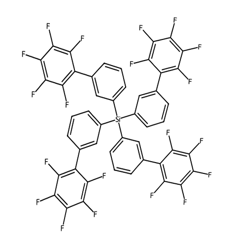 Fc1c(F)c(F)c(-c2cccc([Si](c3cccc(-c4c(F)c(F)c(F)c(F)c4F)c3)(c3cccc(-c4c(F)c(F)c(F)c(F)c4F)c3)c3cccc(-c4c(F)c(F)c(F)c(F)c4F)c3)c2)c(F)c1F